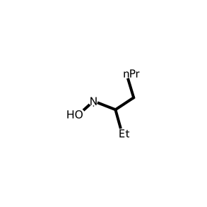 CCCCC(CC)[N]O